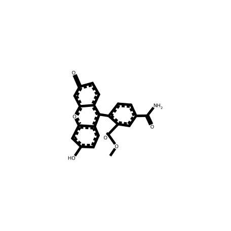 COC(=O)c1cc(C(N)=O)ccc1-c1c2ccc(=O)cc-2oc2cc(O)ccc12